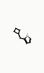 c1coc(CC2CCC2)c1